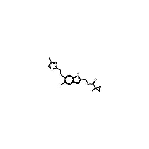 Cc1coc(COc2cc3[nH]c(CNC(=O)C4(C)CC4)cc3cc2Cl)n1